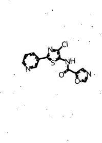 O=C(Nc1sc(-c2cccnc2)nc1Cl)c1cnco1